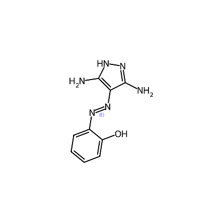 Nc1n[nH]c(N)c1/N=N/c1ccccc1O